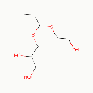 CCC(OCCO)OCC(O)CO